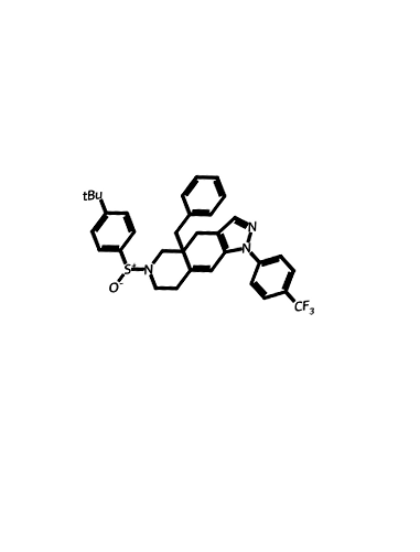 CC(C)(C)c1ccc([S+]([O-])N2CCC3=Cc4c(cnn4-c4ccc(C(F)(F)F)cc4)CC3(Cc3ccccc3)C2)cc1